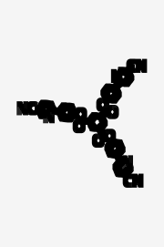 N#Cc1ccc(-c2ccc(OC(=O)C3CC(C(=O)Oc4ccc(-c5ccc(C#N)cn5)cc4)CC(C(=O)Oc4ccc(-c5ccc(C#N)cn5)cc4)C3)cc2)nc1